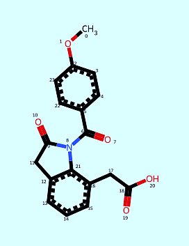 COc1ccc(C(=O)N2C(=O)Cc3cccc(CC(=O)O)c32)cc1